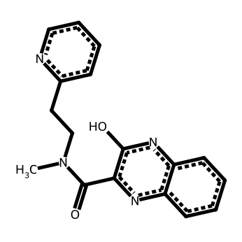 CN(CCc1ccccn1)C(=O)c1nc2ccccc2nc1O